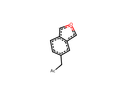 CC(=O)Cc1ccc2[c]occ2c1